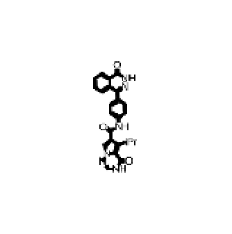 CC(C)c1c(C(=O)Nc2ccc(-c3n[nH]c(=O)c4ccccc34)cc2)cn2nc[nH]c(=O)c12